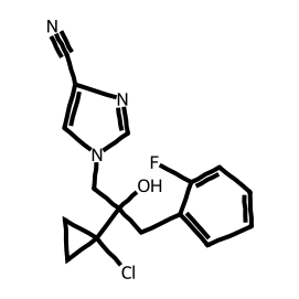 N#Cc1cn(CC(O)(Cc2ccccc2F)C2(Cl)CC2)cn1